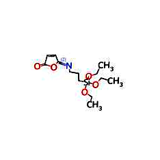 CCO[Si](CCC/N=C1/C=CC(=O)O1)(OCC)OCC